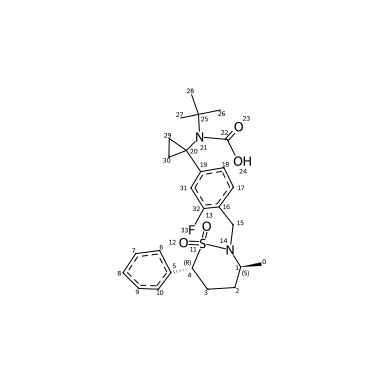 C[C@H]1CC[C@H](c2ccccc2)S(=O)(=O)N1Cc1ccc(C2(N(C(=O)O)C(C)(C)C)CC2)cc1F